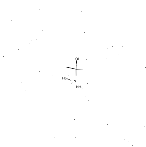 CC(C)(C)O.N.N#CS